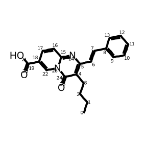 CCCCc1c(C=Cc2ccccc2)nc2ccc(C(=O)O)cn2c1=O